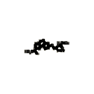 CC(C)C[C@@H](COc1ccc2c(c1)OCc1cnc(N(C)C(=O)O)cc1-2)NC(=O)OC(C)(C)C